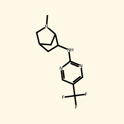 CN1CC2CC(Nc3ncc(C(F)(F)F)cn3)C1C2